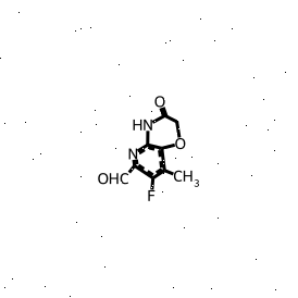 Cc1c(F)c(C=O)nc2c1OCC(=O)N2